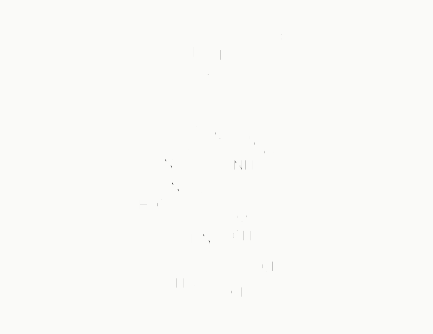 CC(NC(=O)c1c(NS(=O)(=O)c2ccc(Cl)cc2)c(C2=CCC(F)(F)CC2)nn1C)C(C)(C)C